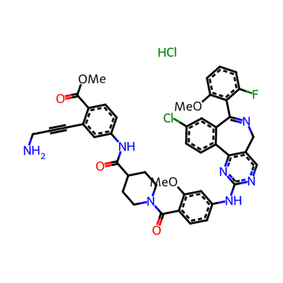 COC(=O)c1ccc(NC(=O)C2CCN(C(=O)c3ccc(Nc4ncc5c(n4)-c4ccc(Cl)cc4C(c4c(F)cccc4OC)=NC5)cc3OC)CC2)cc1C#CCN.Cl